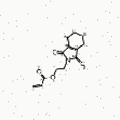 C=CC(=O)OCCN1C(=O)C2=C(CCCC2)C1=O